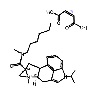 CCCCCCN(C)C(=O)[C@@]12CC3c4cccc5c4c(cn5C(C)C)C[C@H]3[N+]1(C)C2.O=C(O)/C=C\C(=O)O